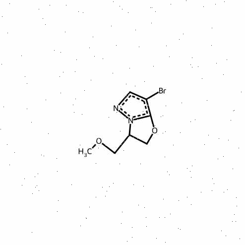 COCC1COc2c(Br)cnn21